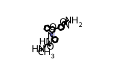 CNCCC(=O)Nc1ccccc1/N=c1\cc(-c2ccc3nc(N)oc3c2)oc2ccccc12